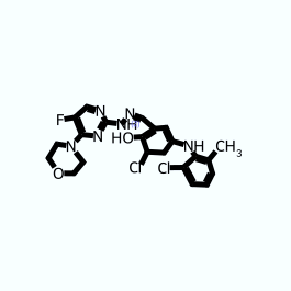 Cc1cccc(Cl)c1NC1=CC(/C=N\Nc2ncc(F)c(N3CCOCC3)n2)=C(O)C(Cl)C1